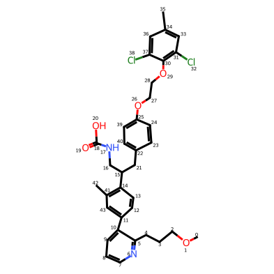 COCCCc1ncccc1-c1ccc(C(CNC(=O)O)Cc2ccc(OCCOc3c(Cl)cc(C)cc3Cl)cc2)c(C)c1